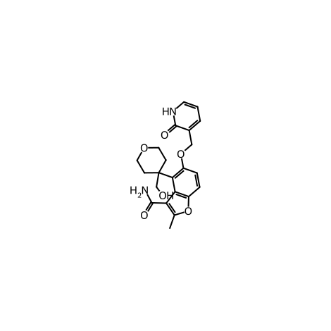 Cc1oc2ccc(OCc3ccc[nH]c3=O)c(C3(CO)CCOCC3)c2c1C(N)=O